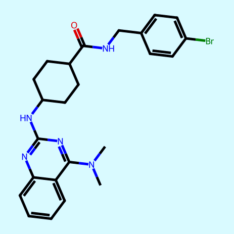 CN(C)c1nc(NC2CCC(C(=O)NCc3ccc(Br)cc3)CC2)nc2ccccc12